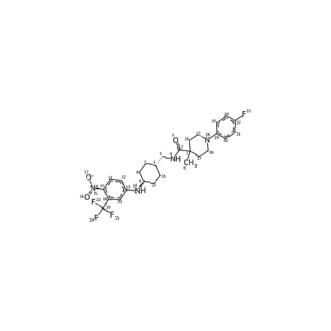 CC1(C(=O)NC[C@H]2CC[C@H](Nc3ccc([N+](=O)[O-])c(C(F)(F)F)c3)CC2)CCN(c2ccc(F)cc2)CC1